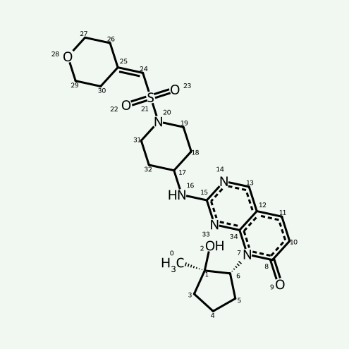 C[C@@]1(O)CCC[C@H]1n1c(=O)ccc2cnc(NC3CCN(S(=O)(=O)C=C4CCOCC4)CC3)nc21